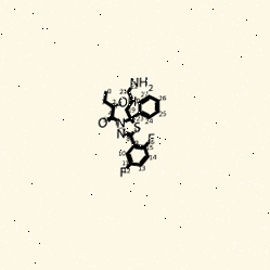 CC[C@@H](O)C(=O)N1N=C(c2cc(F)ccc2F)SC1(CCCN)c1ccccc1